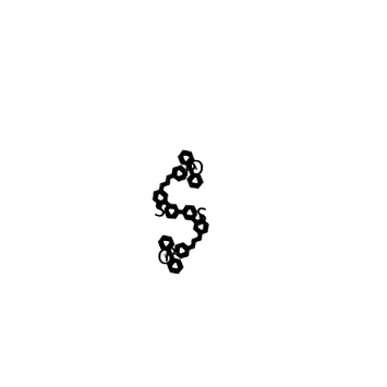 O=P(c1ccccc1)(c1ccccc1)c1ccc(CCCc2ccc3sc4ccc(-c5ccc6sc7ccc(CCCc8ccc(P(=O)(c9ccccc9)c9ccccc9)cc8)cc7c6c5)cc4c3c2)cc1